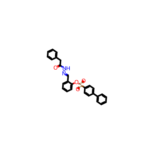 O=C(Cc1ccccc1)N/N=C/c1ccccc1OS(=O)(=O)c1ccc(-c2ccccc2)cc1